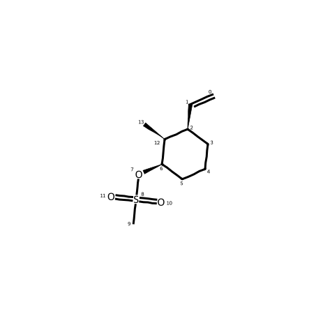 C=C[C@H]1CCC[C@@H](OS(C)(=O)=O)[C@H]1C